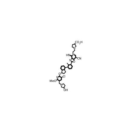 COc1nc(O[C@H]2CCc3c(-c4cccc(-c5nc6c(=N)n(CCN7CC[C@@H](C(=O)O)C7)cc(C#N)c6o5)c4C)cccc32)c(Cl)cc1CN1CC[C@@H](O)C1